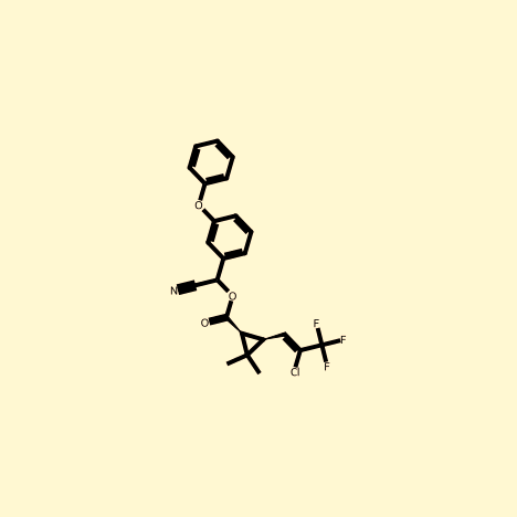 CC1(C)[C@H](/C=C(\Cl)C(F)(F)F)[C@@H]1C(=O)OC(C#N)c1cccc(Oc2ccccc2)c1